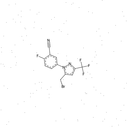 N#Cc1cc(-n2nc(C(F)(F)F)cc2CBr)ccc1F